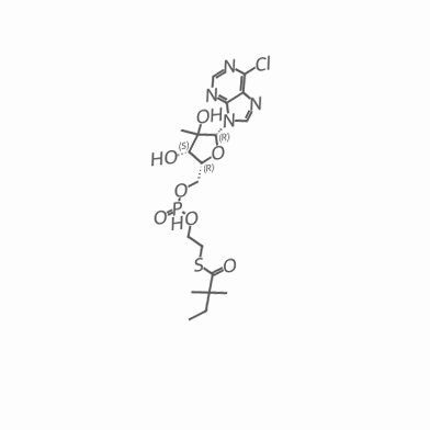 CCC(C)(C)C(=O)SCCO[PH](=O)OC[C@H]1O[C@@H](n2cnc3c(Cl)ncnc32)C(C)(O)[C@H]1O